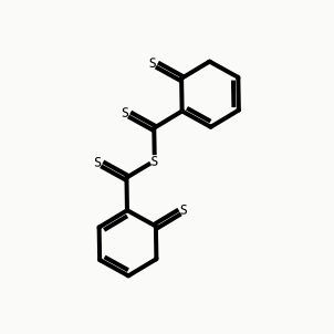 S=C1CC=CC=C1C(=S)SC(=S)C1=CC=CCC1=S